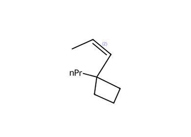 C/C=C\C1(CCC)CCC1